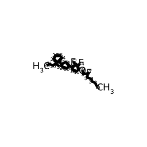 CCCCCCC(F)COc1ccc(C2=CC[C@](CCCCC)(c3ccccc3)C=C2)c(F)c1F